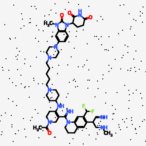 CNCC(C=N)c1cc2c(cc1C(F)F)N(C(=N)C1=C(NC3CCN(CCCCCN4CCN(c5ccc6c(c5)n(C)c(=O)n6C5CCC(=O)NC5=O)CC4)CC3)CCN(C(C)=O)C1)CCC2